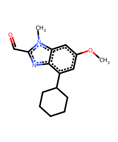 COc1cc(C2CCCCC2)c2nc(C=O)n(C)c2c1